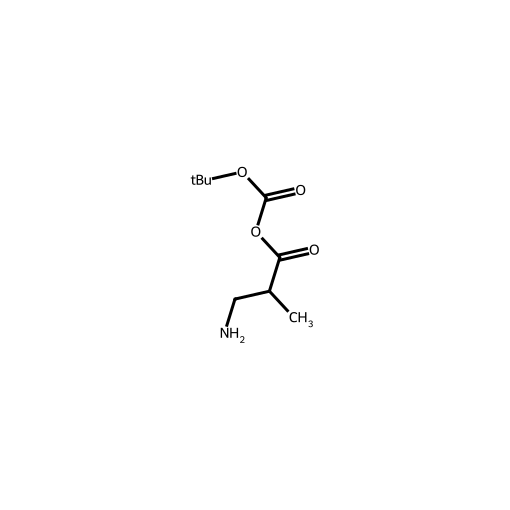 CC(CN)C(=O)OC(=O)OC(C)(C)C